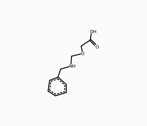 O=C(O)COCNCc1ccccc1